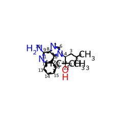 CC(C)C[C@H](n1cnc2c(N)nc3ccccc3c21)C(C)(C)O